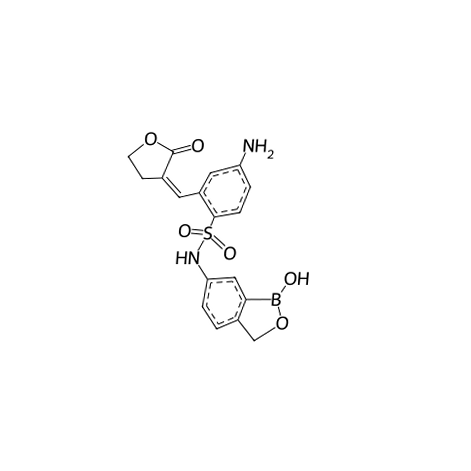 Nc1ccc(S(=O)(=O)Nc2ccc3c(c2)B(O)OC3)c(/C=C2/CCOC2=O)c1